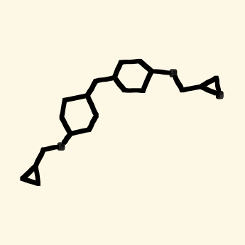 C1CC1COC1CCC(CC2CCC(OCC3CO3)CC2)CC1